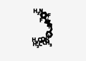 CC(C)(C)OC(=O)N1CCC(CN2CC3(C2)CN(c2c(F)cc(N)cc2F)C3)CC1